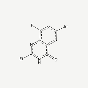 CCc1nc2c(F)cc(Br)cc2c(=O)[nH]1